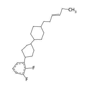 CCC=CCCC1CCC(C2CCC(c3cccc(F)c3F)CC2)CC1